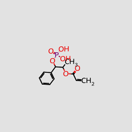 C=CC(=O)OC(C)C(OP(=O)(O)O)c1ccccc1